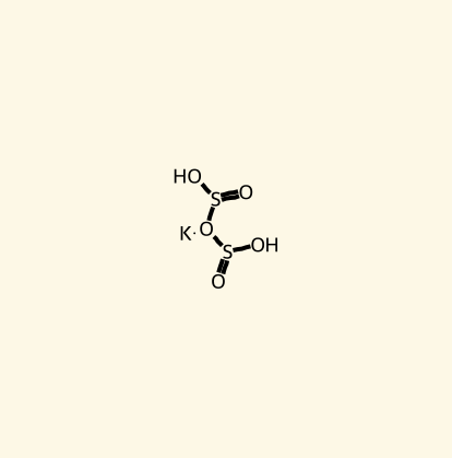 O=S(O)OS(=O)O.[K]